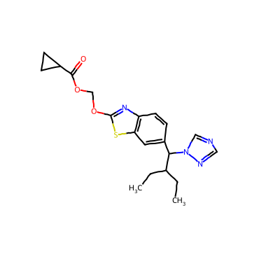 CCC(CC)C(c1ccc2nc(OCOC(=O)C3CC3)sc2c1)n1cncn1